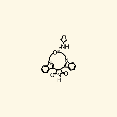 O=C1NC(=O)C2=C1c1cn(c3ccccc13)CCO[C@H](CNC1COC1)CCn1cc2c2ccccc21